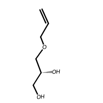 C=CCOC[C@H](O)CO